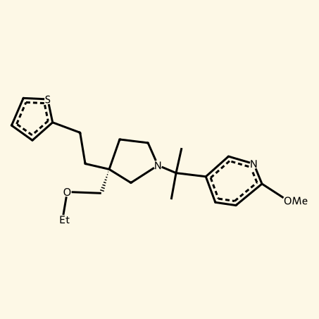 CCOC[C@]1(CCc2cccs2)CCN(C(C)(C)c2ccc(OC)nc2)C1